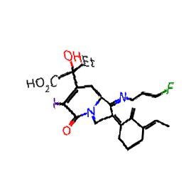 C=C1/C(=C2/CN3C(=O)C(I)=C(C(O)(CC)C(=O)O)CC3/C2=N/CCCF)CCC/C1=C\C